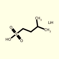 CC(C)CCS(=O)(=O)O.[LiH]